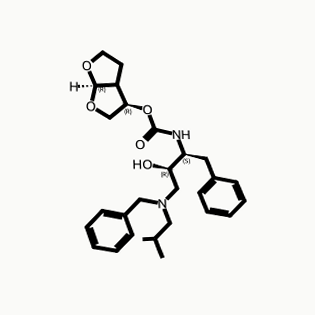 CC(C)CN(Cc1ccccc1)C[C@@H](O)[C@H](Cc1ccccc1)NC(=O)O[C@H]1CO[C@H]2OCCC21